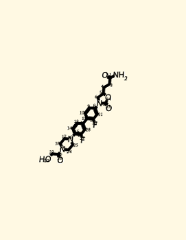 NC(=O)CCC1CN(c2ccc(-c3ccc(N4CCN(C(=O)CO)CC4)c(F)c3)c(F)c2)C(=O)O1